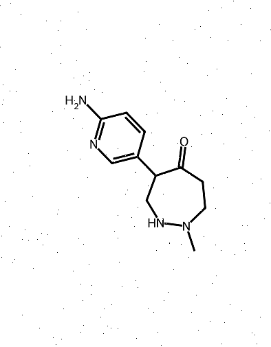 CN1CCC(=O)C(c2ccc(N)nc2)CN1